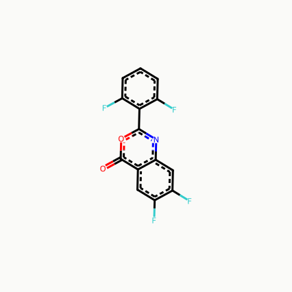 O=c1oc(-c2c(F)cccc2F)nc2cc(F)c(F)cc12